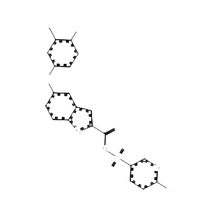 O=C(NS(=O)(=O)c1ccc(Cl)nc1)c1cc2cc(Oc3ccc(Cl)c(Cl)c3)ccc2[nH]1